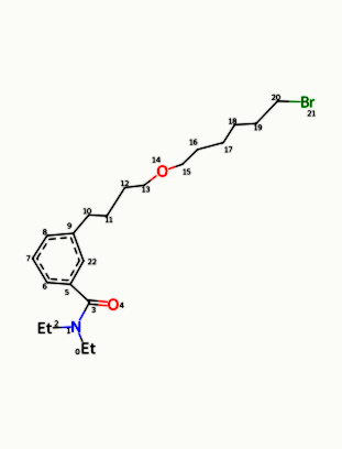 CCN(CC)C(=O)c1cccc(CCCCOCCCCCCBr)c1